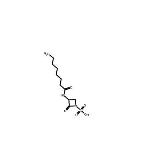 CCCCCCCC(=O)NC1CN(S(=O)(=O)O)C1=O